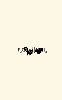 Cc1cccc2c(CN[C@H]3CC[C@@H]4CN(c5cccc(C(F)(F)F)n5)C[C@@H]43)c[nH]c12